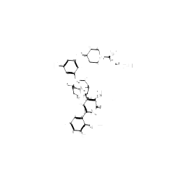 CC(C)(C)OC(=O)N1CCC(Oc2cc(F)cc(N3CC4COC[C@H]3CN4c3cc(-c4cccc(F)c4O)nnc3N)c2)CC1